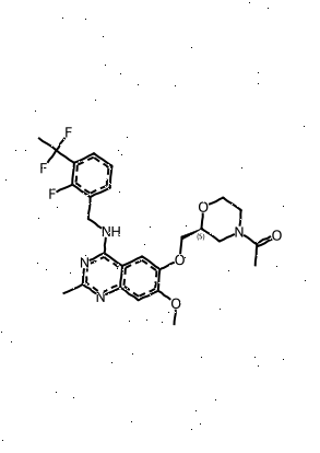 COc1cc2nc(C)nc(NCc3cccc(C(C)(F)F)c3F)c2cc1OC[C@@H]1CN(C(C)=O)CCO1